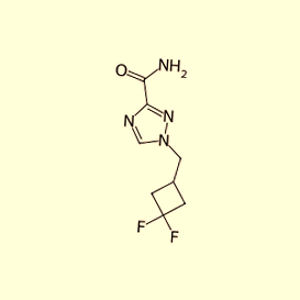 NC(=O)c1ncn(CC2CC(F)(F)C2)n1